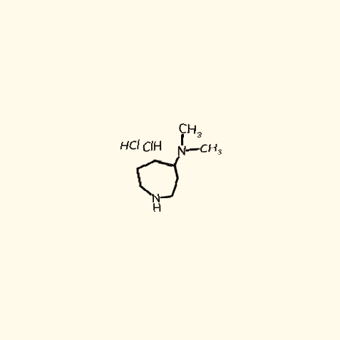 CN(C)C1CCCNCC1.Cl.Cl